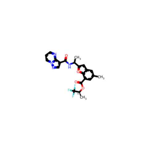 Cc1cc(C(=O)O[C@@H](C)C(F)(F)F)c2oc(C(C)NC(=O)c3cnn4cccnc34)cc2c1